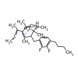 C=C=C(C)/C(C(=C)C)=C(\C)C(Cc1ccc(CCCC)c(F)c1F)C(C)(C)NC